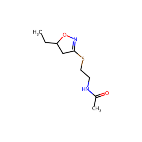 CCC1CC(SCCNC(C)=O)=NO1